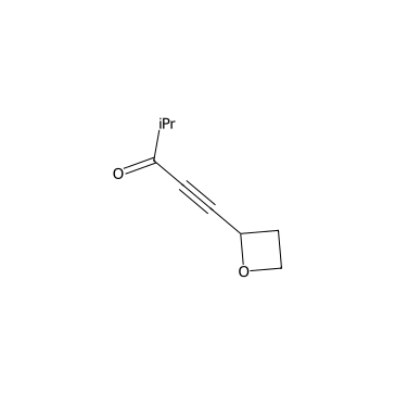 CC(C)C(=O)C#CC1CCO1